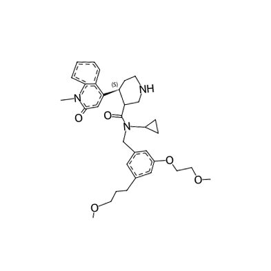 COCCCc1cc(CN(C(=O)C2CNCC[C@@H]2c2cc(=O)n(C)c3ccccc23)C2CC2)cc(OCCOC)c1